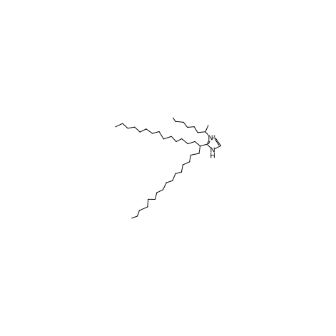 CCCCCCCCCCCCCCCCC(CCCCCCCCCCCCCC)c1[nH]cc[n+]1C(C)CCCCCC